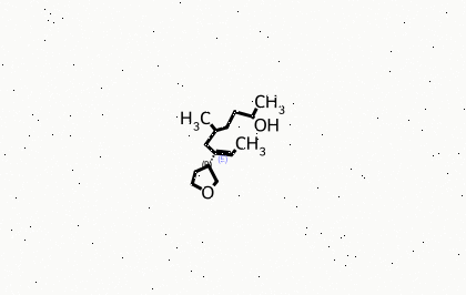 C/C=C(\CC(C)CCC(C)O)[C@H]1CCOC1